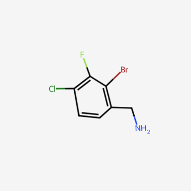 NCc1ccc(Cl)c(F)c1Br